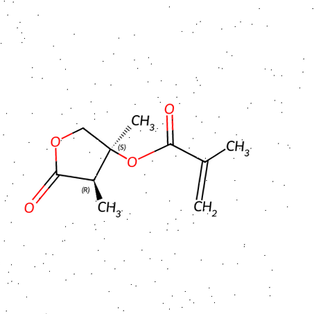 C=C(C)C(=O)O[C@]1(C)COC(=O)[C@@H]1C